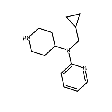 c1ccc(N(CC2CC2)C2CCNCC2)nc1